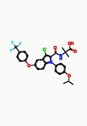 CC(C)Oc1ccc(-n2c(C(=O)NC(C)(C)C(=O)O)c(Cl)c3cc(Oc4ccc(C(F)(F)F)cc4)ccc32)cc1